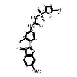 CNc1ccc2c(c1)N=C(c1ccc(NC(=O)NS(=O)(=O)c3ccc(Cl)s3)cc1C)C2=O